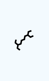 CCC(CC)CCCCC(CC)CC